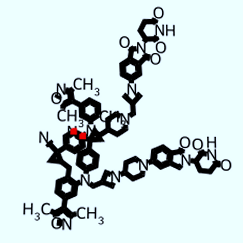 Cc1ccc(-c2c(C)noc2C)cc1N(CC1CCN(CC2CN(c3ccc4c(c3)C(=O)N(C3CCC(=O)NC3=O)C4=O)C2)CC1)c1ccc(C2(C#N)CC2Cc2ccc(-c3c(C)noc3C)cc2N(CC2CN(C3CCN(c4ccc5c(c4)CN(C4CCC(=O)NC4=O)C5=O)CC3)C2)c2ccc(C3(C#N)CC3)cc2)cc1